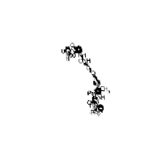 Cc1cc(Nc2ncc(Cl)c(Nc3ccccc3S(=O)(=O)C(C)C)n2)c(OC(C)C)cc1N1CCN(CCOCCOCCNC(=O)CNc2cccc3c2C(=O)N(C2CCC(=O)NC2=O)C3=O)CC1